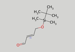 CC(C)(C)[Si](C)(C)OC/C=C/C=O